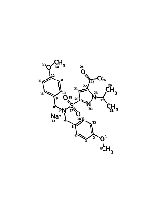 COc1ccc(CN(Cc2ccc(OC)cc2)S(=O)(=O)c2cc(C(=O)[O-])n(C(C)C)n2)cc1.[Na+]